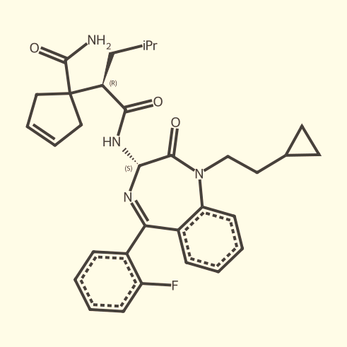 CC(C)C[C@@H](C(=O)N[C@H]1N=C(c2ccccc2F)c2ccccc2N(CCC2CC2)C1=O)C1(C(N)=O)CC=CC1